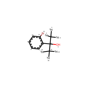 [2H]C([2H])([2H])C(O)(c1ccccc1Br)C([2H])([2H])[2H]